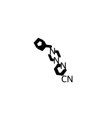 N#Cc1ccc(N2CCN(CC3CC4C=CC3C4)CC2)nc1